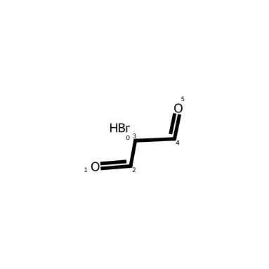 Br.O=CCC=O